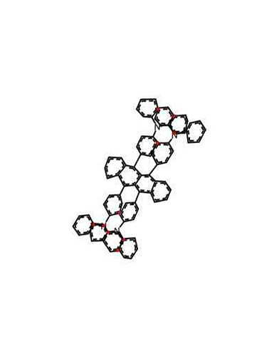 c1ccc(N(c2ccccc2)c2ccc(-c3c4ccccc4c(-c4ccc(N(c5ccccc5)c5ccccc5)cc4)c4c(-c5ccc(N(c6ccccc6)c6ccccc6)cc5)c5ccccc5c(-c5ccc(N(c6ccccc6)c6ccccc6)cc5)c34)cc2)cc1